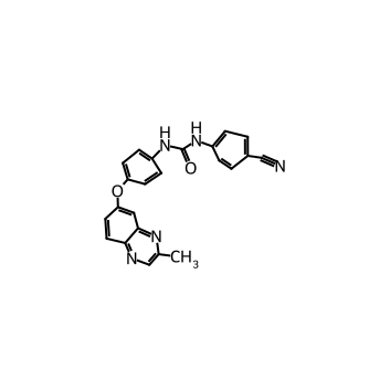 Cc1cnc2ccc(Oc3ccc(NC(=O)Nc4ccc(C#N)cc4)cc3)cc2n1